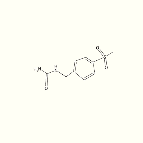 CS(=O)(=O)c1ccc(CNC(N)=O)cc1